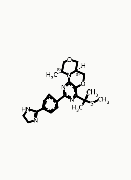 CSC(C)(C)c1nc(-c2ccc(C3=NCCN3)cc2)nc2c1OC[C@@H]1COC[C@@H](C)N21